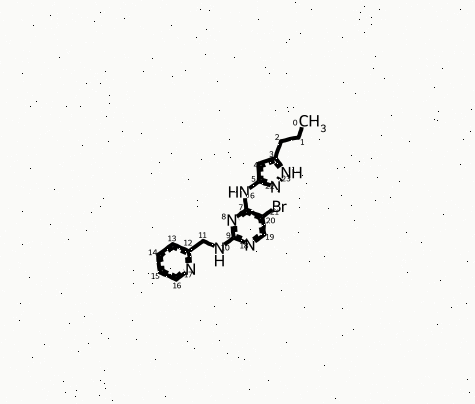 CCCc1cc(Nc2nc(NCc3ccccn3)ncc2Br)n[nH]1